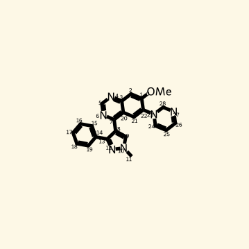 COc1cc2ncnc(-c3cn(C)nc3-c3ccccc3)c2cc1N1C=CC=NC1